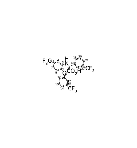 O=C(O)C(Nc1cc(C(F)(F)F)ccc1Oc1cccc(C(F)(F)F)c1)c1cccc(C(F)(F)F)c1